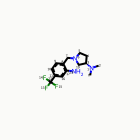 CN(C)[C@@H]1CCN(Cc2ccc(C(F)(F)F)cc2N)C1